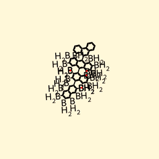 Bc1c(B)c(B)c2c(B)c(-c3c(B)c(B)c(-c4c5c(B)c(B)c(B)c(B)c5c(-c5cc6ccccc6c6ccccc56)c5c(B)c(B)c(B)c(B)c45)c4c(B)c(B)c(B)c(B)c34)c(B)c(B)c2c1B